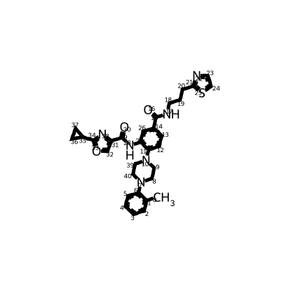 Cc1ccccc1N1CCN(c2ccc(C(=O)NCCCc3nccs3)cc2NC(=O)c2coc(C3CC3)n2)CC1